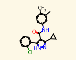 Cc1cc(NC(=O)c2c(C3CC3)n[nH]c2-c2ccccc2Cl)ccc1C(F)(F)F